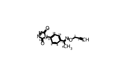 C#CCON=C(C)c1ccc(N2C(=O)N=NC2=O)cc1